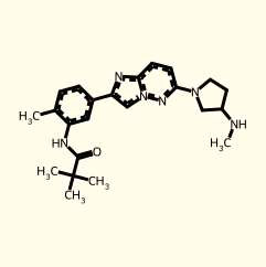 CNC1CCN(c2ccc3nc(-c4ccc(C)c(NC(=O)C(C)(C)C)c4)cn3n2)C1